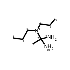 CCCN(CCC)C(C)(N)N